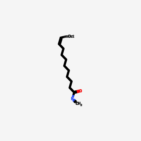 C=NC(=O)CCCCCCCC/C=C\CCCCCCCC